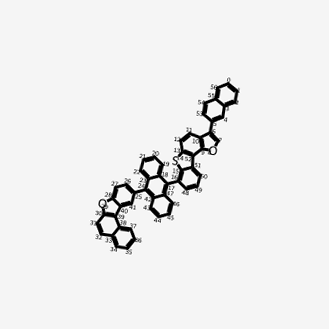 c1ccc2cc(-c3coc4c3ccc3sc5c(-c6c7ccccc7c(-c7ccc8oc9ccc%10ccccc%10c9c8c7)c7ccccc67)cccc5c34)ccc2c1